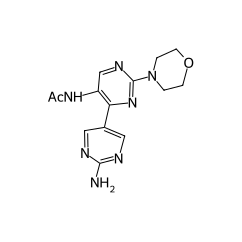 CC(=O)Nc1cnc(N2CCOCC2)nc1-c1cnc(N)nc1